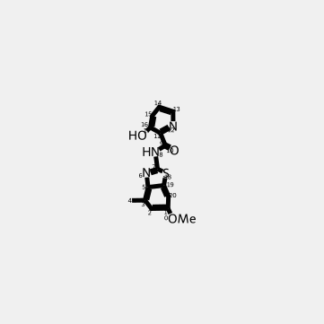 COc1cc(C)c2nc(NC(=O)c3ncccc3O)sc2c1